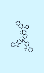 Cc1cc(C=C2C(=O)c3cc4ccccc4cc3C2=O)ccc1N(c1ccc2c(c1)C(C)(C)c1ccccc1-2)c1ccc2c(c1)C(C)(C)c1ccccc1-2